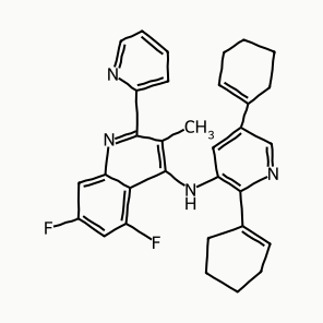 Cc1c(-c2ccccn2)nc2cc(F)cc(F)c2c1Nc1cc(C2=CCCCC2)cnc1C1=CCCCC1